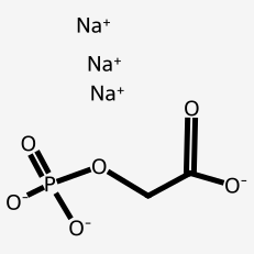 O=C([O-])COP(=O)([O-])[O-].[Na+].[Na+].[Na+]